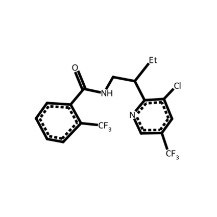 CCC(CNC(=O)c1ccccc1C(F)(F)F)c1ncc(C(F)(F)F)cc1Cl